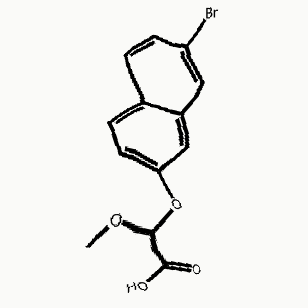 COC(Oc1ccc2ccc(Br)cc2c1)C(=O)O